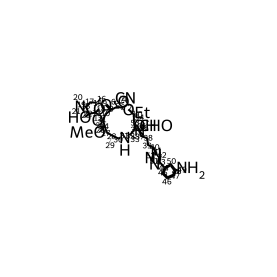 CC[C@H]1OC(=O)[C@H](CC#N)C(=O)C[C@@H](O[C@@H]2O[C@H](C)CC(N(C)C)C2O)[C@](C)(OC)C[C@@H](C)CN[C@H](C)[C@@H](N(C=O)CCCCn2cc(-c3cccc(N)c3)nn2)[C@]1(C)O